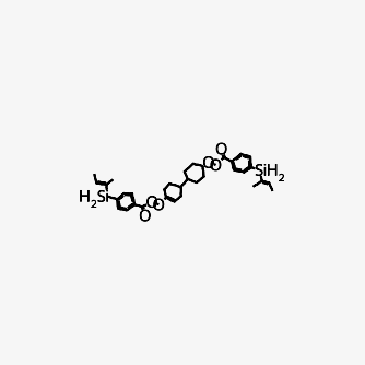 C/C=C(\C)[SiH2]c1ccc(C(=O)OOC2=CCC(C3CCC(OOC(=O)c4ccc([SiH2]/C(C)=C/C)cc4)CC3)CC2)cc1